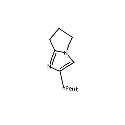 CCCCCc1cn2c(n1)CCC2